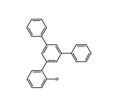 Brc1ccccc1-c1cc(-c2ccccc2)cc(-c2ccccc2)c1